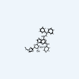 CCn1nnc([C@H]2O[C@@H](n3cnc4c(NCC(c5ccccc5)c5ccccc5)nc(NC5CCOCC5)nc43)[C@H](O)[C@@H]2O)n1